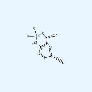 C#Cc1ccc2c(c1)C(=O)CC(C)(C)O2